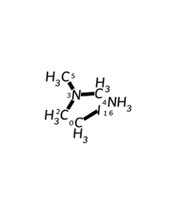 CI.CN(C)C.N